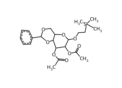 CC(=O)OC1C(OCC[Si](C)(C)C)OC2COC(c3ccccc3)OC2C1OC(C)=O